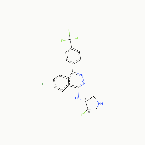 Cl.F[C@@H]1CNC[C@H]1Nc1nnc(-c2ccc(C(F)(F)F)cc2)c2ccccc12